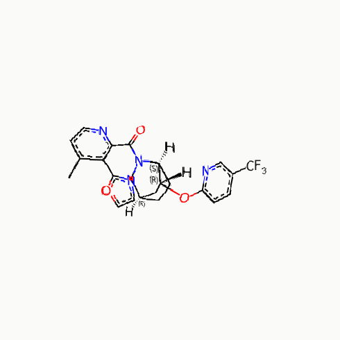 Cc1ccnc(C(=O)N2C[C@@H]3CC[C@H]2[C@H](Oc2ccc(C(F)(F)F)cn2)C3)c1-c1ncco1